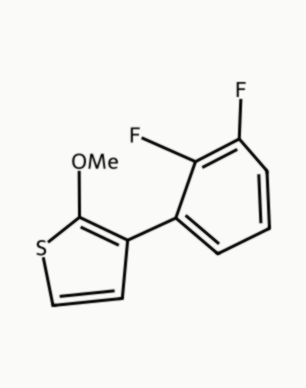 COc1sccc1-c1cccc(F)c1F